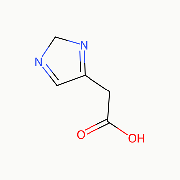 O=C(O)CC1=NCN=C1